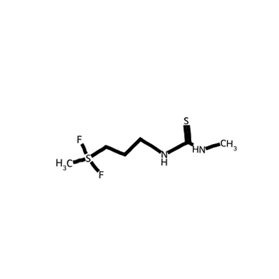 CNC(=S)NCCCS(C)(F)F